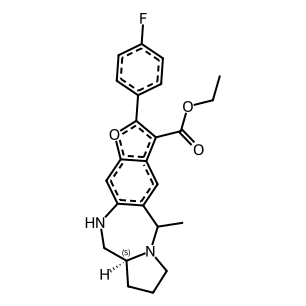 CCOC(=O)c1c(-c2ccc(F)cc2)oc2cc3c(cc12)C(C)N1CCC[C@H]1CN3